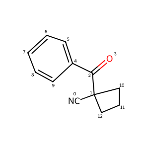 N#CC1(C(=O)c2ccccc2)CCC1